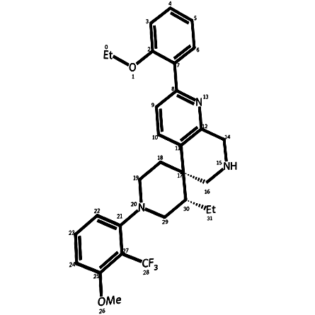 CCOc1ccccc1-c1ccc2c(n1)CNC[C@]21CCN(c2cccc(OC)c2C(F)(F)F)C[C@H]1CC